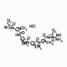 C=C(Br)C(=O)Nc1cc(C(=O)Nc2cc(C(=O)Nc3cc(C(=O)Nc4cc(C(=O)NCC(C)NC(=N)N)n(C)c4)n(C)c3)n(C)c2)n(C)c1.Cl